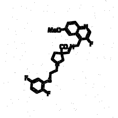 COc1ccc2ncc(F)c(CCCC3(C(=O)O)CCN(CCSc4cc(F)ccc4F)C3)c2c1